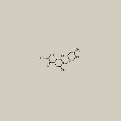 CCN1CC(C)NC[C@@H]1CN1CCN(C(=O)N(C)C)CC1C